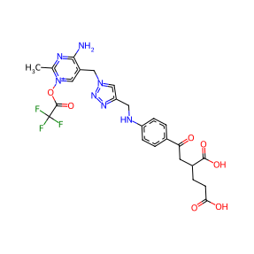 Cc1nc(N)c(Cn2cc(CNc3ccc(C(=O)CC(CCC(=O)O)C(=O)O)cc3)nn2)c[n+]1OC(=O)C(F)(F)F